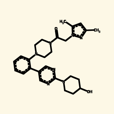 Cc1cc(C)n(CC(=O)N2CCN(c3ccccc3-c3cnc(N4CCC(O)CC4)nc3)CC2)n1